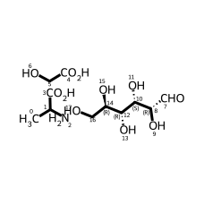 CC(N)C(=O)O.O=C(O)CO.O=C[C@H](O)[C@@H](O)[C@H](O)[C@H](O)CO